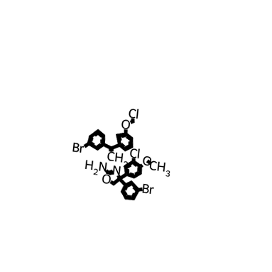 C=C(c1cccc(Br)c1)c1cccc(OCCl)c1.COc1ccc(C2(c3cccc(Br)c3)COC(N)=N2)cc1Cl